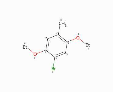 CCOc1cc(Br)c(OCC)cc1C